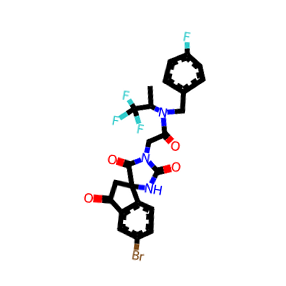 CC(N(Cc1ccc(F)cc1)C(=O)CN1C(=O)NC2(CC(=O)c3cc(Br)ccc32)C1=O)C(F)(F)F